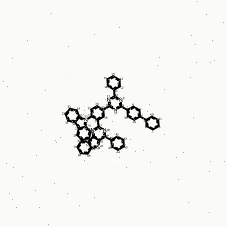 c1ccc(-c2ccc(-c3nc(-c4ccccc4)nc(-c4ccc(-n5c6ccccc6c6ccccc65)c(-c5nc(-c6ccccc6)c6sc7ccccc7c6n5)c4)n3)cc2)cc1